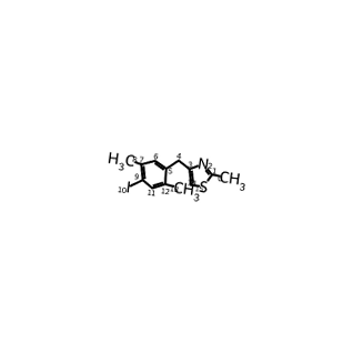 Cc1nc(Cc2cc(C)c(I)cc2C)cs1